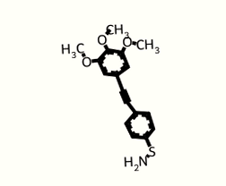 COc1cc(C#Cc2ccc(SN)cc2)cc(OC)c1OC